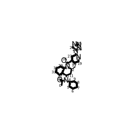 CC(=O)N(c1ccccc1)[C@@H]1C[C@H](C)N(C(=O)c2ccnc(-n3cnnn3)c2)c2ccccc21